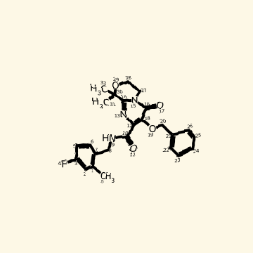 Cc1cc(F)ccc1CNC(=O)c1nc2n(c(=O)c1OCc1ccccc1)CCOC2(C)C